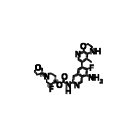 Cc1c(-c2cc3cc(NC(=O)O[C@@H]4CCN([C@H]5CCOC5)C[C@@H]4F)ncc3c(N)c2F)cnc2c1NCCO2